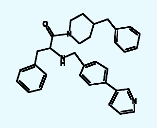 O=C(C(Cc1ccccc1)NCc1ccc(-c2cccnc2)cc1)N1CCC(Cc2ccccc2)CC1